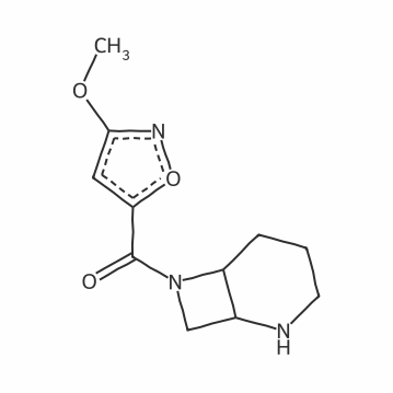 COc1cc(C(=O)N2CC3NCCCC32)on1